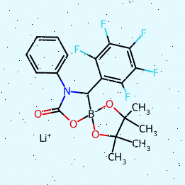 CC1(C)O[B-]2(OC(=O)N(c3ccccc3)C2c2c(F)c(F)c(F)c(F)c2F)OC1(C)C.[Li+]